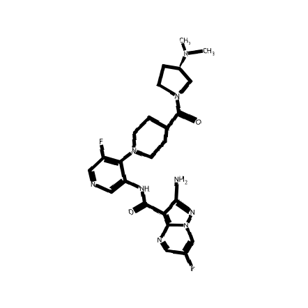 CN(C)[C@@H]1CCN(C(=O)C2CCN(c3c(F)cncc3NC(=O)c3c(N)nn4cc(F)cnc34)CC2)C1